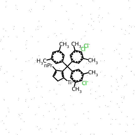 CCCC1=CC[C]([Ti+3])=C1C(c1cc(C)cc(C)c1)(c1cc(C)cc(C)c1)c1cc(C)cc(C)c1.[Cl-].[Cl-].[Cl-]